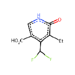 CCc1c(C(F)F)c(C(=O)O)c[nH]c1=O